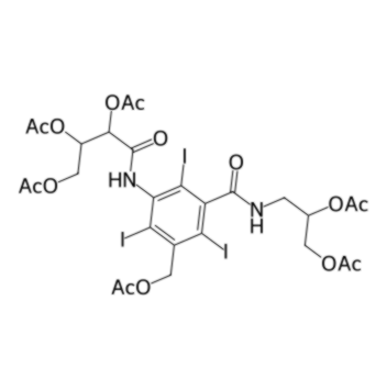 CC(=O)OCc1c(I)c(NC(=O)C(OC(C)=O)C(COC(C)=O)OC(C)=O)c(I)c(C(=O)NCC(COC(C)=O)OC(C)=O)c1I